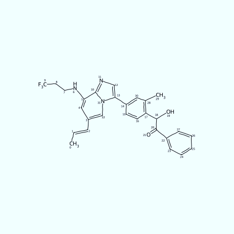 C/C=C/c1cc(NCCC(F)(F)F)c2ncc(-c3ccc(C(O)C(=O)c4ccccc4)c(C)c3)n2c1